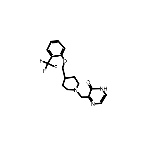 O=c1[nH]ccnc1CN1CCC(COc2ccccc2C(F)(F)F)CC1